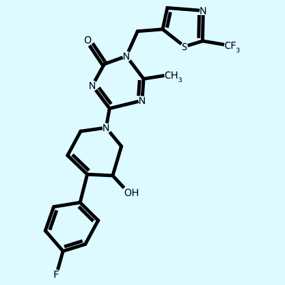 Cc1nc(N2CC=C(c3ccc(F)cc3)C(O)C2)nc(=O)n1Cc1cnc(C(F)(F)F)s1